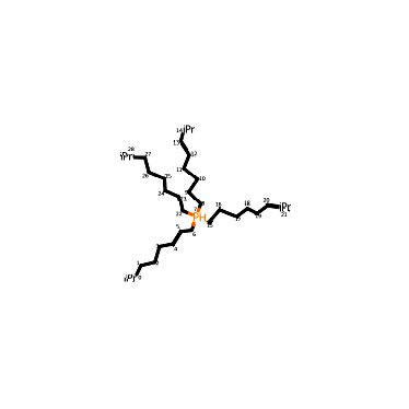 CC(C)CCCCCC[PH](CCCCCCC(C)C)(CCCCCCC(C)C)CCCCCCC(C)C